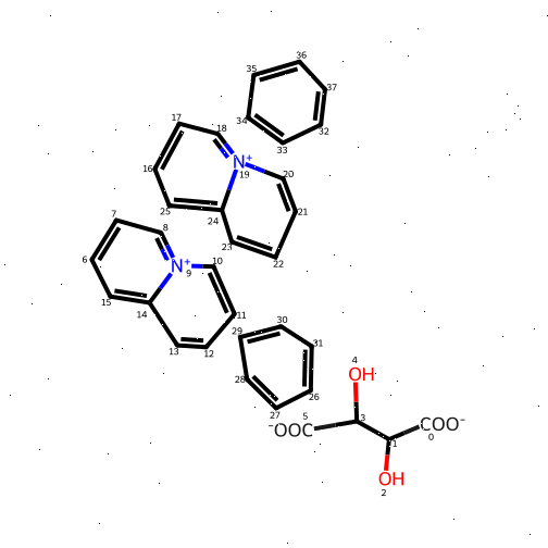 O=C([O-])C(O)C(O)C(=O)[O-].c1cc[n+]2ccccc2c1.c1cc[n+]2ccccc2c1.c1ccccc1.c1ccccc1